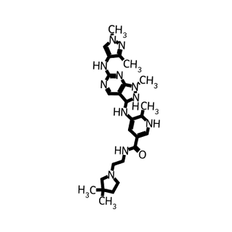 Cc1nn(C)cc1Nc1ncc2c(n1)N(C)NC2NC1=CC(C(=O)NCCN2CCC(C)(C)C2)=CNC1C